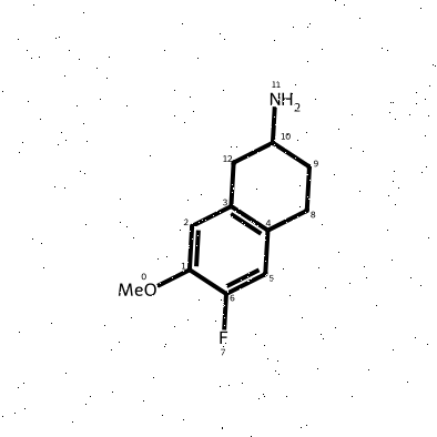 COc1cc2c(cc1F)CCC(N)C2